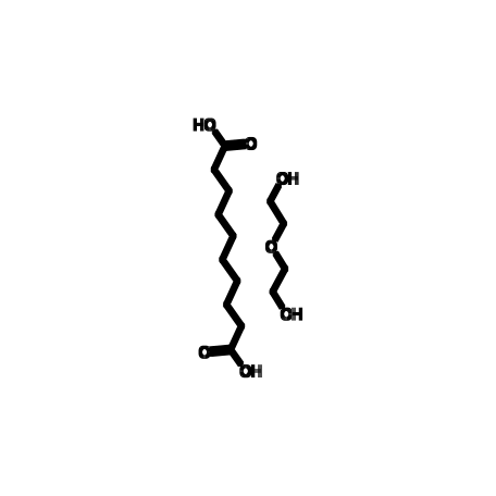 O=C(O)CCCCCCCCC(=O)O.OCCOCCO